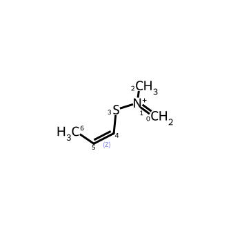 C=[N+](C)S/C=C\C